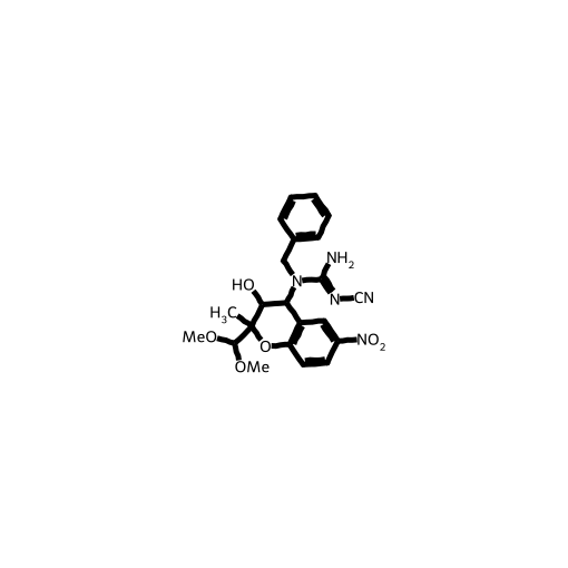 COC(OC)C1(C)Oc2ccc([N+](=O)[O-])cc2C(N(Cc2ccccc2)C(N)=NC#N)C1O